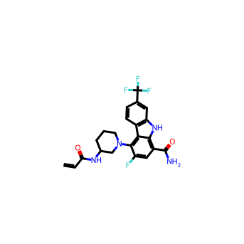 C=CC(=O)NC1CCCN(c2c(F)cc(C(N)=O)c3[nH]c4cc(C(F)(F)F)ccc4c23)C1